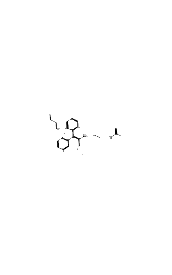 C=C(C)C(=O)OCCNC(=O)C(C#N)=C1c2ccccc2N(CCCC)c2ccc(OC)cc21